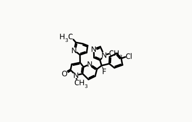 Cc1cccc(-c2cc(=O)n(C)c3ccc([C@](F)(c4ccc(Cl)cc4)c4cncn4C)nc23)n1